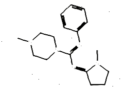 CN1CCN(C(/N=C2/CCCN2C)=N\c2ccccc2)CC1